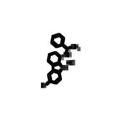 C[C@@H](N[C@H]1CCCc2c1[nH]c1ccc(Br)cc21)c1ccccc1.Cl